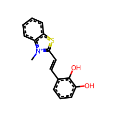 C[n+]1c(/C=C/c2cccc(O)c2O)sc2ccccc21